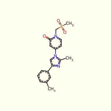 Cc1cccc(-c2cn(-c3ccn(CS(C)(=O)=O)c(=O)c3)c(C)n2)c1